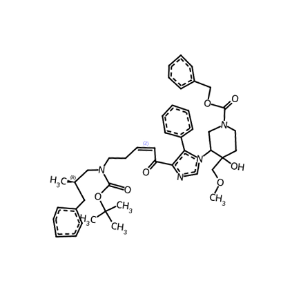 COCC1(O)CCN(C(=O)OCc2ccccc2)CC1n1cnc(C(=O)/C=C\CCN(C[C@H](C)Cc2ccccc2)C(=O)OC(C)(C)C)c1-c1ccccc1